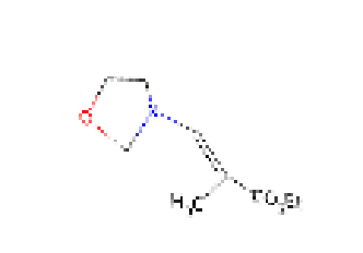 CCOC(=O)C(C)=CN1CCOC1